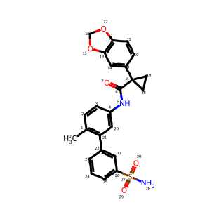 Cc1ccc(NC(=O)C2(c3ccc4c(c3)OCO4)CC2)cc1-c1cccc(S(N)(=O)=O)c1